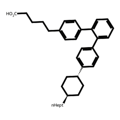 CCCCCCC[C@H]1CC[C@H](c2ccc(-c3ccccc3-c3ccc(CCCCC(=O)O)cc3)cc2)CC1